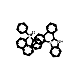 O=P(c1ccccc1)(c1ccccc1)c1cccc2cccc(-c3ccc4c(c3)N3c5ccccc5NC3c3ccccc3-4)c12